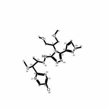 COCC(COC)n1c(NSC(C)C(OC)c2ncc(Cl)cn2)nnc1-c1ccn(C)n1